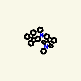 c1ccc(N(c2ccc3c(c2)C(c2ccccc2)(c2ccccc2)c2ccccc2-3)c2ccc3c(c2)C2(c4ccccc4-3)c3ccccc3N(c3ccccc3)c3ccccc32)cc1